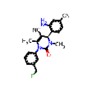 CC1=C(C#N)[C@@H](c2ccc(C#N)cc2N)N(C)C(=O)N1c1cccc(CF)c1